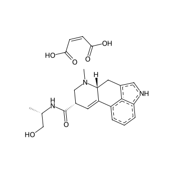 C[C@@H](CO)NC(=O)[C@H]1C=C2c3cccc4[nH]cc(c34)C[C@H]2N(C)C1.O=C(O)/C=C\C(=O)O